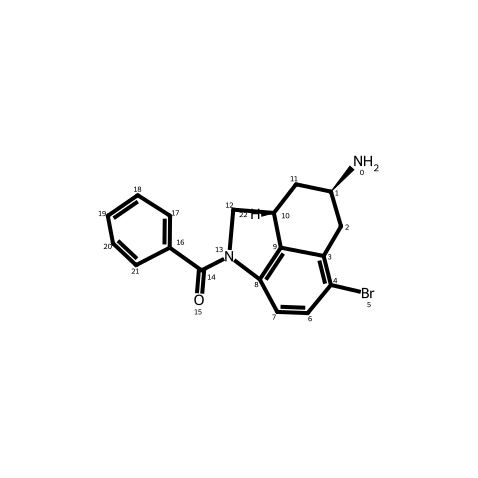 N[C@H]1Cc2c(Br)ccc3c2[C@@H](C1)CN3C(=O)c1ccccc1